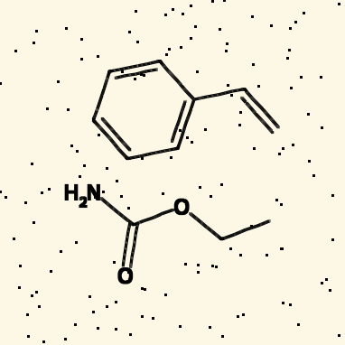 C=Cc1ccccc1.CCOC(N)=O